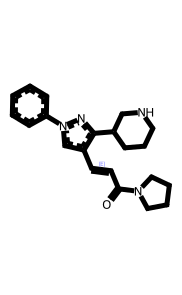 O=C(/C=C/c1cn(-c2ccccc2)nc1C1CCCNC1)N1CCCC1